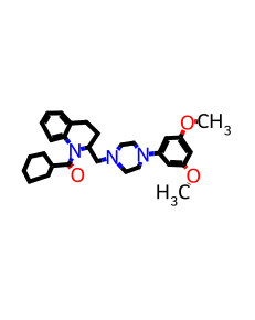 COc1cc(OC)cc(N2CCN(CC3CCc4ccccc4N3C(=O)C3CCCCC3)CC2)c1